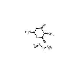 CC1CC(=O)C(C)C(=O)C1.COC=O